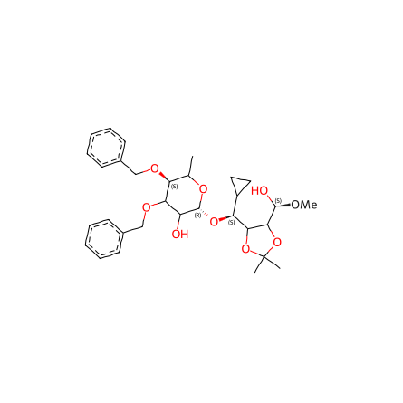 CO[C@H](O)C1OC(C)(C)OC1[C@@H](O[C@H]1OC(C)[C@H](OCc2ccccc2)C(OCc2ccccc2)C1O)C1CC1